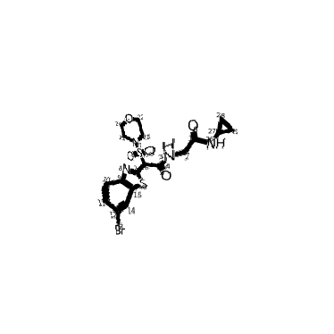 O=C(CNC(=O)C(c1nc2ccc(Br)cc2s1)S(=O)(=O)N1CCOCC1)NC1CC1